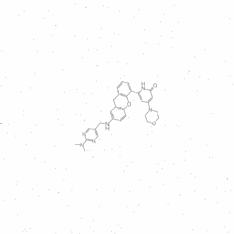 CN(C)c1ncc(CNc2ccc3c(c2)Cc2cccc(-c4cc(N5CCOCC5)cc(=O)[nH]4)c2O3)cn1